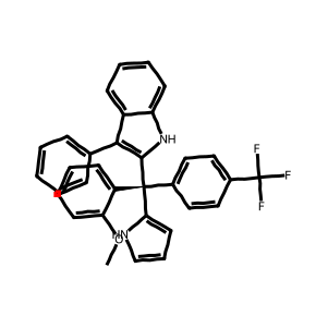 COc1ccccc1[C@@](c1ccc(C(F)(F)F)cc1)(c1ccc[nH]1)c1[nH]c2ccccc2c1-c1ccccc1